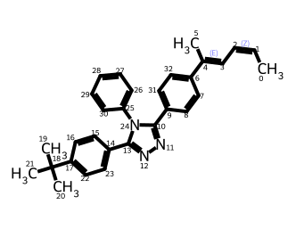 C/C=C\C=C(/C)c1ccc(-c2nnc(-c3ccc(C(C)(C)C)cc3)n2-c2ccccc2)cc1